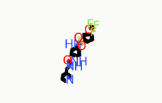 O=C(NCc1cccnc1)Nc1ccc(NS(=O)(=O)c2cccc(OC(F)(F)F)c2)cc1